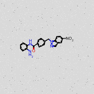 Nc1ccccc1NC(=O)c1ccc(Cn2ncc3cc([N+](=O)[O-])ccc32)cc1